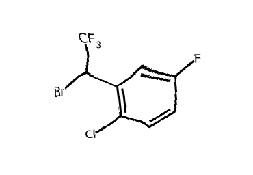 Fc1ccc(Cl)c(C(Br)C(F)(F)F)c1